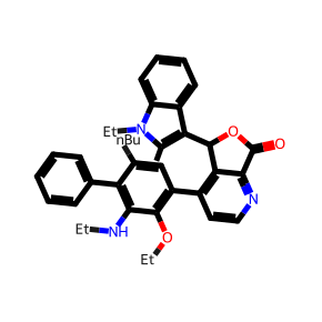 CCCCc1cc(-c2ccnc3c2C(c2c(C)n(CC)c4ccccc24)OC3=O)c(OCC)c(NCC)c1-c1ccccc1